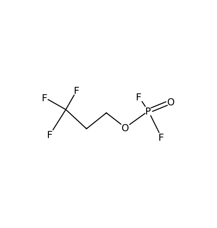 O=P(F)(F)OCCC(F)(F)F